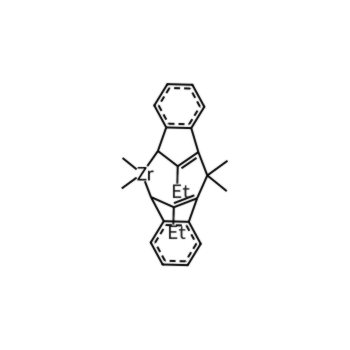 CCC1=C2c3ccccc3[CH]1[Zr]([CH3])([CH3])[CH]1C(CC)=C(c3ccccc31)C2(C)C